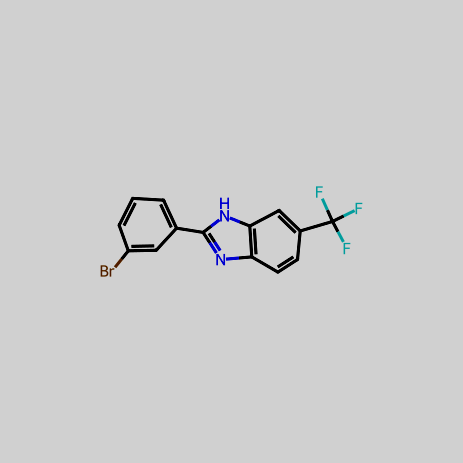 FC(F)(F)c1ccc2nc(-c3cccc(Br)c3)[nH]c2c1